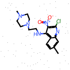 Cc1ccc2c(NCCN3CCN(C)CC3)c([N+](=O)[O-])c(Cl)nc2c1